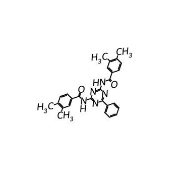 Cc1ccc(C(=O)Nc2nc(NC(=O)c3ccc(C)c(C)c3)nc(-c3ccccc3)n2)cc1C